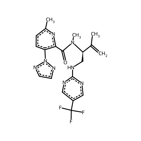 C=C(C)[C@@H](CNc1ncc(C(F)(F)F)cn1)N(C)C(=O)c1nc(C)ccc1-n1nccn1